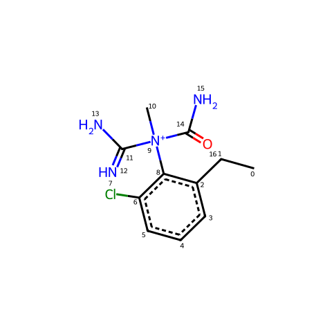 CCc1cccc(Cl)c1[N+](C)(C(=N)N)C(N)=O